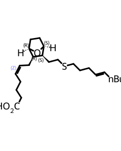 CCCCC=CCCCSCC[C@H]1[C@@H](C/C=C\CCCC(=O)O)[C@H]2CC[C@@H]1O2